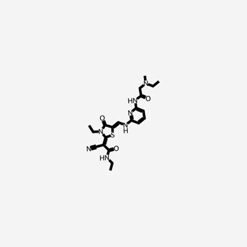 CCNC(=O)C(C#N)=c1sc(=CNc2cccc(NC(=O)CN(C)CC)n2)c(=O)n1CC